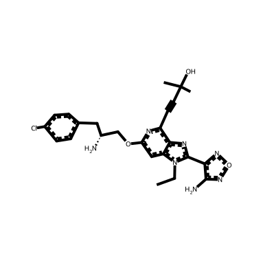 CCn1c(-c2nonc2N)nc2c(C#CC(C)(C)O)nc(OC[C@H](N)Cc3ccc(Cl)cc3)cc21